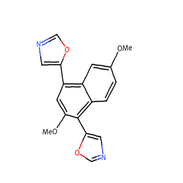 COc1ccc2c(-c3cnco3)c(OC)cc(-c3cnco3)c2c1